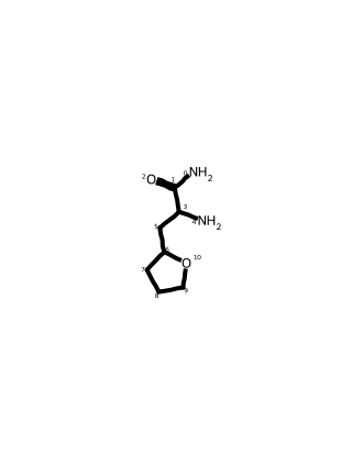 NC(=O)C(N)CC1CCCO1